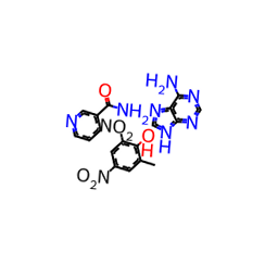 Cc1cc([N+](=O)[O-])cc([N+](=O)[O-])c1O.NC(=O)c1cccnc1.Nc1ncnc2[nH]cnc12